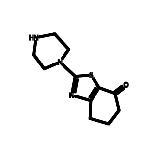 O=C1CCCc2nc(N3CCNCC3)sc21